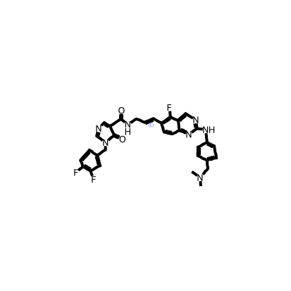 CN(C)Cc1ccc(Nc2ncc3c(F)c(/C=C/CNC(=O)c4cncn(Cc5ccc(F)c(F)c5)c4=O)ccc3n2)cc1